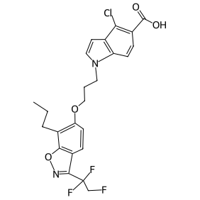 CCCc1c(OCCCn2ccc3c(Cl)c(C(=O)O)ccc32)ccc2c(C(F)(F)CF)noc12